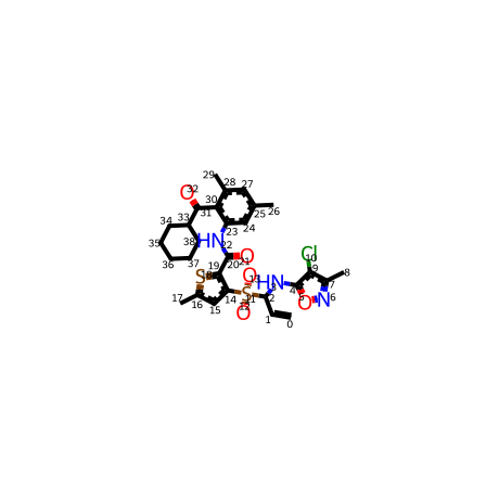 C=CC(Nc1onc(C)c1Cl)S(=O)(=O)c1cc(C)sc1C(=O)Nc1cc(C)cc(C)c1C(=O)C1CCCCC1